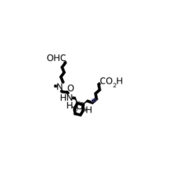 CN(CCCCCC=O)CC(=O)NC[C@H]1[C@@H](C/C=C\CCCC(=O)O)[C@H]2CC[C@@H]1O2